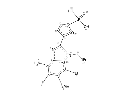 CCc1c(SC)c(F)c(N)c2nc(-c3ccc(P(=O)(O)O)o3)n(CC(C)C)c12